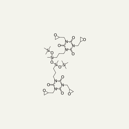 C[Si](C)(C)O[Si](C)(CCCn1c(=O)n(CC2CO2)c(=O)n(CC2CO2)c1=O)O[Si](C)(CCCn1c(=O)n(CC2CO2)c(=O)n(CC2CO2)c1=O)O[Si](C)(C)C